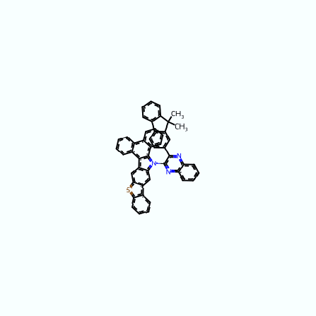 CC1(C)c2ccccc2-c2ccc(-c3nc4ccccc4nc3-n3c4cc5c(cc4c4c6ccccc6c6ccccc6c43)sc3ccccc35)cc21